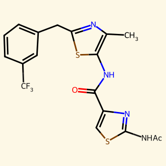 CC(=O)Nc1nc(C(=O)Nc2sc(Cc3cccc(C(F)(F)F)c3)nc2C)cs1